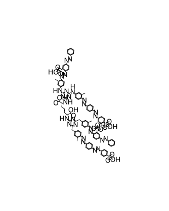 Cc1cc(Cc2nc(Cc3ccc(N=Nc4ccc(N=Nc5ccccc5)cc4S(=O)(=O)O)c(C)c3)nc(NC(CCCC(Nc3nc(Nc4ccc(N=Nc5ccc(N=Nc6ccc(S(=O)(=O)O)cc6)cc5)c(C)c4)nc(Nc4ccc(N=Nc5ccc(N=Nc6ccccc6)cc5S(=O)(=O)O)c(C)c4)n3)C(=O)O)C(=O)O)n2)ccc1N=Nc1ccc(N=Nc2ccc(S(=O)(=O)O)cc2)cc1